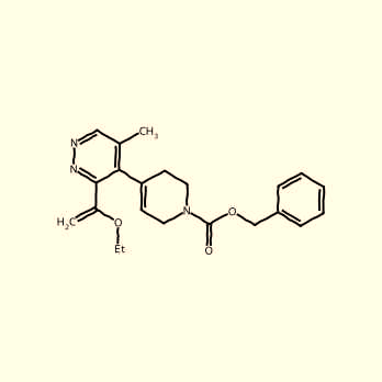 C=C(OCC)c1nncc(C)c1C1=CCN(C(=O)OCc2ccccc2)CC1